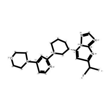 FC(F)c1cc([C@H]2CCCN(c3cc(N4CCOCC4)ccn3)C2)n2ncnc2n1